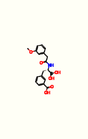 COc1cccc(CC(=O)N[C@@H](Cc2cccc(C(=O)O)c2)B(O)O)c1